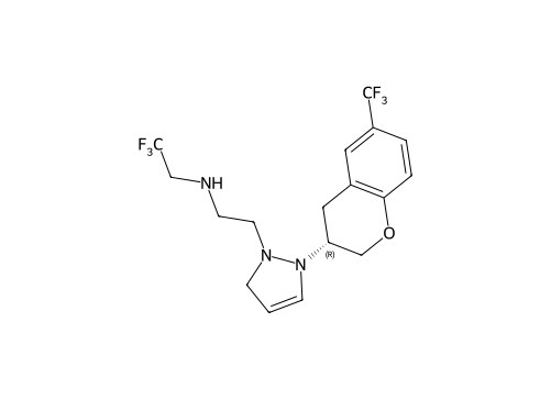 FC(F)(F)CNCCN1CC=CN1[C@H]1COc2ccc(C(F)(F)F)cc2C1